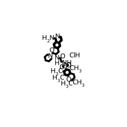 Cc1c(C)c(S(=O)(=O)NCC(=O)NC(Cc2ccc3c(N)nccc3c2)C(=O)N2CCCCC2)c(C)c2c1OC(C)(C)CC2.Cl